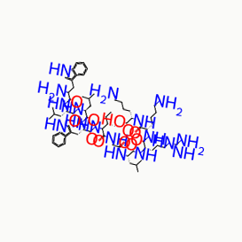 CC[C@H](C)[C@H](NC(=O)[C@H](Cc1c[nH]c2ccccc12)NC(=O)[C@H](CC(C)C)NC(=O)[C@H](CC(C)C)NC(=O)[C@@H](N)Cc1c[nH]c2ccccc12)C(=O)NCC(=O)N[C@@H](CC(C)C)C(=O)N[C@@H](CCCNC(=N)N)C(=O)N[C@@H](CCCCN)C(=O)N[C@@H](CCCCN)C(=O)O